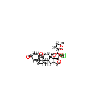 CC1C[C@H]2[C@@H]3CCC4=CC(=O)C=C[C@]4(C)[C@]34OC4C[C@]2(C)[C@@]1(OC(=O)c1ccco1)C(=O)CCl